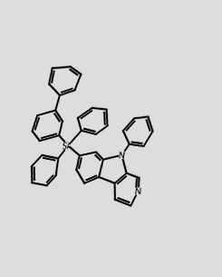 c1ccc(-c2cccc([Si](c3ccccc3)(c3ccccc3)c3ccc4c5ccncc5n(-c5ccccc5)c4c3)c2)cc1